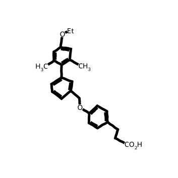 CCOc1cc(C)c(-c2cccc(COc3ccc(CCC(=O)O)cc3)c2)c(C)c1